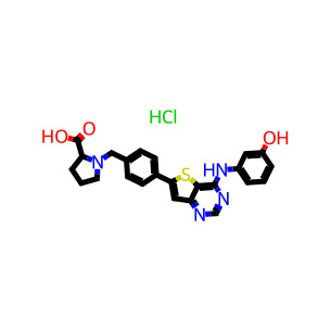 Cl.O=C(O)C1CCCN1Cc1ccc(-c2cc3ncnc(Nc4cccc(O)c4)c3s2)cc1